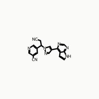 N#CCC(c1cncc(C#N)c1)n1cc(-c2ncnc3[nH]ccc23)cn1